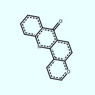 O=c1c2ccccc2nc2c1ccc1occcc12